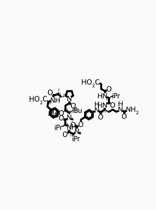 CC[C@H](C)[C@@H]([C@@H](CC(=O)N1CCC[C@H]1C[C@@H](C)C(=O)N[C@@H](Cc1ccccc1)C(=O)O)OC)N(C)C(=O)[C@@H](NC(=O)[C@H](C(C)C)N(C)C(=O)OCc1ccc(NC(=O)[C@H](CCCNC(N)=O)NC(=O)[C@@H](NC(=O)CCC(=O)O)C(C)C)cc1)C(C)C